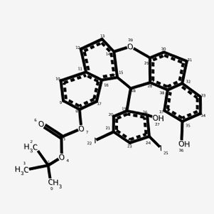 CC(C)(C)OC(=O)Oc1ccc2ccc3c(c2c1)C(c1cc(I)cc(I)c1O)c1c(ccc2ccc(O)cc12)O3